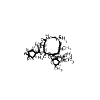 C[C@H]1CN(C)CCNC(=O)[C@H](C)[C@@H](OC(=O)C2CCC(F)(F)CC2)[C@H](C)[C@@H](O[C@@H]2O[C@H](C)C[C@H](N(C)C)[C@H]2O)[C@](C)(O)C1